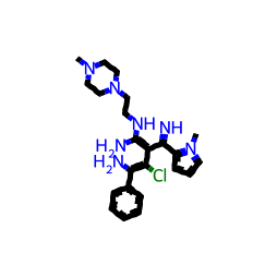 CN1CCN(CCN/C(N)=C(C(=N)c2cccn2C)/C(Cl)=C(\N)c2ccccc2)CC1